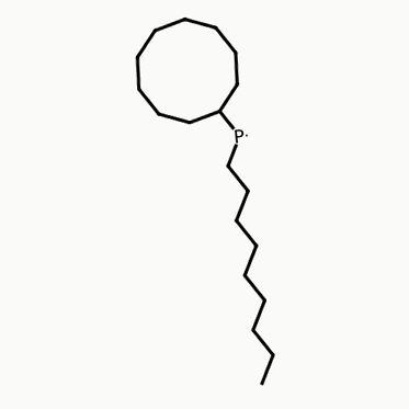 CCCCCCCCC[P]C1CCCCCCCCC1